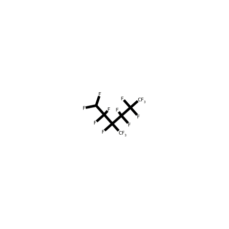 FC(F)C(F)(F)C(F)(C(F)(F)F)C(F)(F)C(F)(F)C(F)(F)F